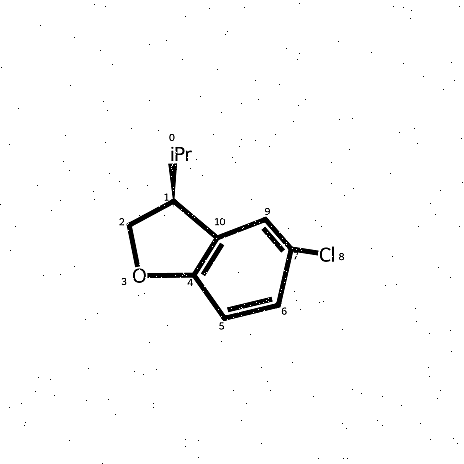 CC(C)[C@@H]1COc2ccc(Cl)cc21